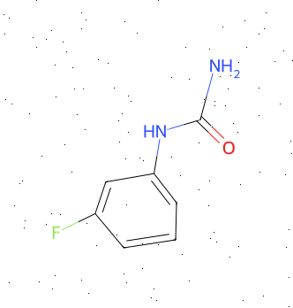 NC(=O)Nc1cccc(F)c1